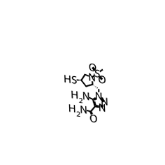 CS(=O)(=O)N1C[C@H](S)C[C@H]1Cn1nnc(C(N)=O)c1N